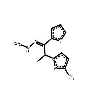 CC(/C(=N\NC=O)c1cccs1)n1ccc(C(F)(F)F)n1